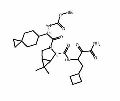 CC(C)(C)OC(=O)N[C@H](C(=O)N1CC2C([C@H]1C(=O)NC(CC1CCC1)C(=O)C(N)=O)C2(C)C)C1CCC2(CC1)CC2